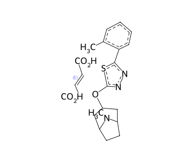 Cc1ccccc1-c1nnc(OC2CC3CCC(C2)N3C)s1.O=C(O)/C=C/C(=O)O